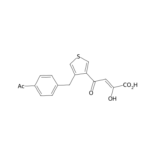 CC(=O)c1ccc(Cc2cscc2C(=O)C=C(O)C(=O)O)cc1